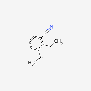 C=[C]c1cccc(C#N)c1CC